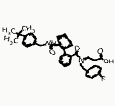 CC(C)(C)c1ccc(CNC(=O)c2ccccc2-c2ccccc2C(=O)N(CCC(=O)O)Cc2ccc(F)cc2)cc1